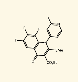 CCOC(=O)c1c(SC)n(-c2ccnc(C)c2)c2c(F)c(F)c(F)cc2c1=O